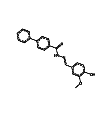 COc1cc(/C=N/NC(=O)c2ccc(-c3ccccc3)cc2)ccc1O